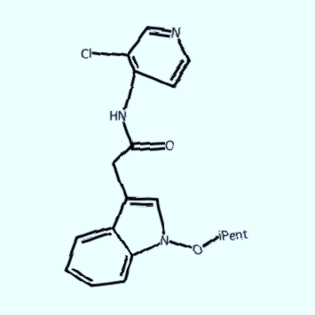 CCCC(C)On1cc(CC(=O)Nc2ccncc2Cl)c2ccccc21